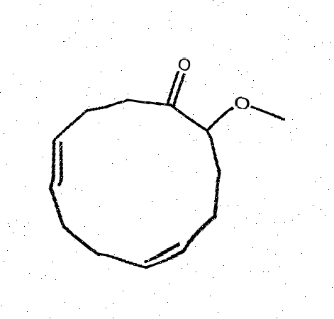 COC1CCC=CCCC=CCCC1=O